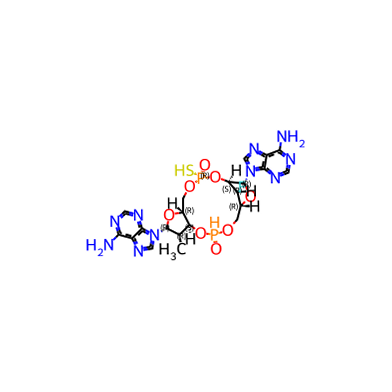 C[C@@H]1[C@@H]2O[PH](=O)OC[C@H]3O[C@@H](n4cnc5c(N)ncnc54)[C@H](O[P@](=O)(S)OC[C@H]2O[C@H]1n1cnc2c(N)ncnc21)[C@@H]3F